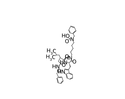 CC(C)CC(CC(=O)NOCc1ccccc1)C(=O)N[C@H](Cc1c[nH]c2ccccc12)C(=O)NCCCCCN(Cc1ccccc1)C(=O)O